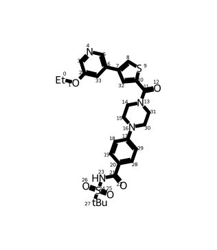 CCOc1cncc(-c2csc(C(=O)N3CCN(c4ccc(C(=O)NS(=O)(=O)C(C)(C)C)cc4)CC3)c2)c1